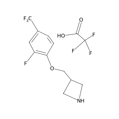 Fc1cc(C(F)(F)F)ccc1OCC1CNC1.O=C(O)C(F)(F)F